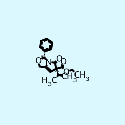 CCOC(=O)[C@]1(C(C)C)C=C2CO[C@H](c3ccccc3)N2C1=O